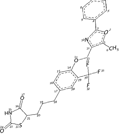 Cc1oc(-c2ccccc2)nc1COc1ccc(CCCC2SC(=O)NC2=O)cc1C(F)(F)F